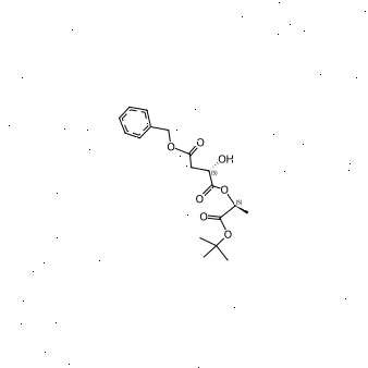 C[C@H](OC(=O)[C@@H](O)CC(=O)OCc1ccccc1)C(=O)OC(C)(C)C